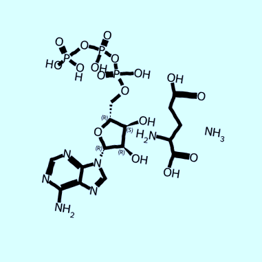 N.NC(CCC(=O)O)C(=O)O.Nc1ncnc2c1ncn2[C@@H]1O[C@H](COP(=O)(O)OP(=O)(O)OP(=O)(O)O)[C@@H](O)[C@H]1O